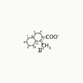 Cc1c(C(=O)[O-])ccc2ccccc12.[Tl+]